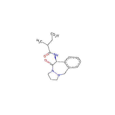 CC(CC(=O)O)C(=O)N[C@@H]1C(=O)N2CCCN2Cc2ccccc21